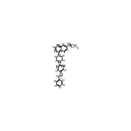 COc1ccc2c(N3CCN(c4ncc(OCc5ccccc5)cn4)CC3)ncnc2c1